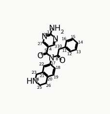 Nc1ncc(C(=O)N(C(=O)Cc2ccccc2)c2ccc3c(c2)CNCC3)cn1